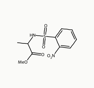 COC(=O)C(C)NS(=O)(=O)c1ccccc1[N+](=O)[O-]